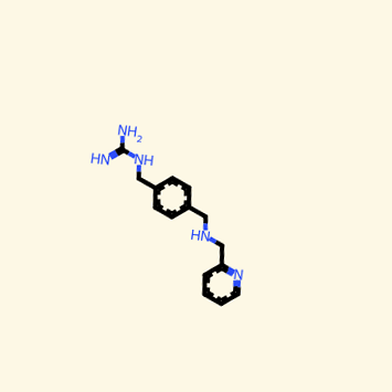 N=C(N)NCc1ccc(CNCc2ccccn2)cc1